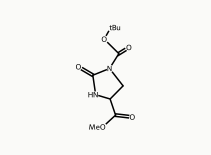 COC(=O)C1CN(C(=O)OC(C)(C)C)C(=O)N1